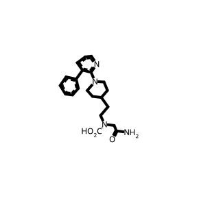 NC(=O)CN(CCC1CCN(c2ncccc2-c2ccccc2)CC1)C(=O)O